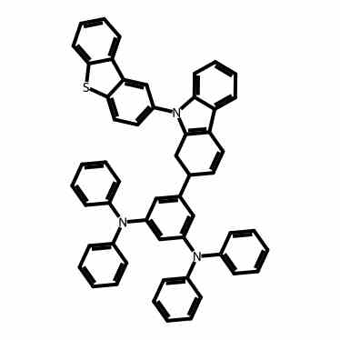 C1=CC(c2cc(N(c3ccccc3)c3ccccc3)cc(N(c3ccccc3)c3ccccc3)c2)Cc2c1c1ccccc1n2-c1ccc2sc3ccccc3c2c1